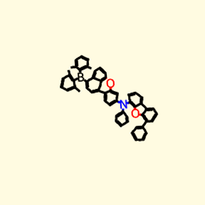 Cc1cccc(C)c1B(c1c(C)cccc1C)c1ccc2c3c(cccc13)Oc1cc(N(c3ccccc3)c3cccc4c3oc3c(-c5ccccc5)cccc34)ccc1-2